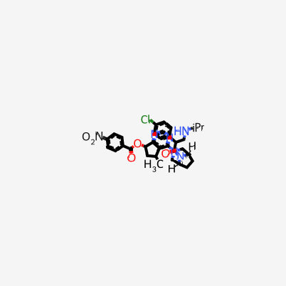 CC(C)NCC(C(=O)N1[C@@H]2CC[C@H]1CN(c1ncnc3c1C(C)CC3OC(=O)c1ccc([N+](=O)[O-])cc1)C2)c1ccc(Cl)cc1